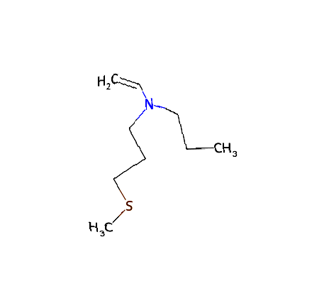 C=CN(CCC)CCCSC